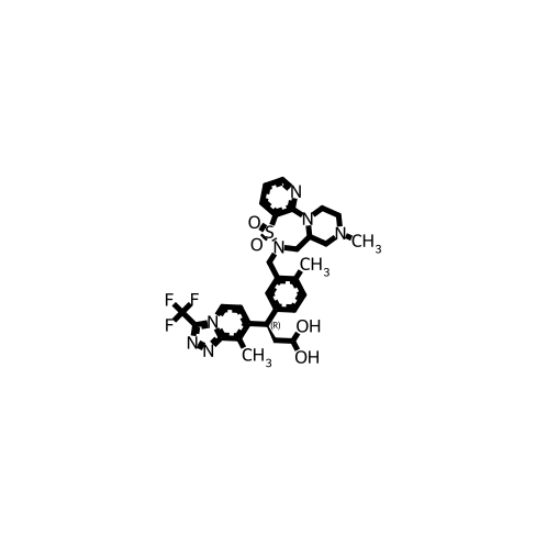 Cc1ccc([C@@H](CC(O)O)c2ccn3c(C(F)(F)F)nnc3c2C)cc1CN1CC2CN(C)CCN2c2ncccc2S1(=O)=O